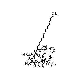 CCCCCCCCCCCCCCCCCC(=O)O[C@@H](C)C(=O)O[C@@H](C)C(=O)O[C@@H](C)C(=O)O[C@@H](C)C(=O)O[C@@H](CNC(C)(C)C)COc1nsnc1N1CCOCC1